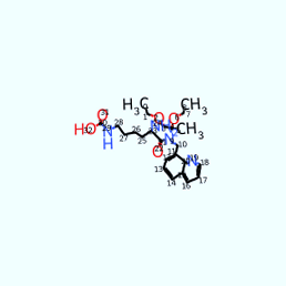 CCOC[C@](C)(OCC)N(Cc1cccc2cccnc12)C(=O)[C@@H](N)CCCCNC(=O)O